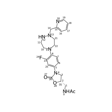 CC(=O)NC[C@H]1CN(c2ccc(N3CCNN(Cc4ccccn4)CC3)c(F)c2)C(=O)O1